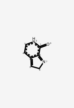 O=c1[nH]ccc2c1=NCC=2